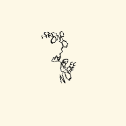 N#CC1(c2ccccc2OC(F)(F)F)CCN(C(=O)[C@H]2CCCN2CCCCc2cccc3c2CN(C2CCC(=O)NC2=O)C3=O)CC1